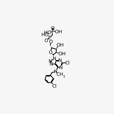 CN(Cc1cccc(Cl)c1)c1nc(Cl)nc2c1nnn2[C@@H]1O[C@H](COP(=O)(O)CP(=O)(O)O)[C@@H](O)[C@H]1O